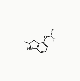 CC1Cc2c(cccc2OC(F)F)N1